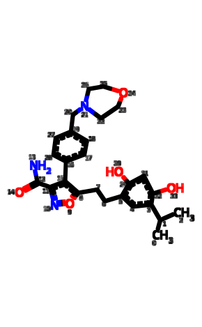 CC(C)c1cc(CCc2onc(C(N)=O)c2-c2ccc(CN3CCOCC3)cc2)c(O)cc1O